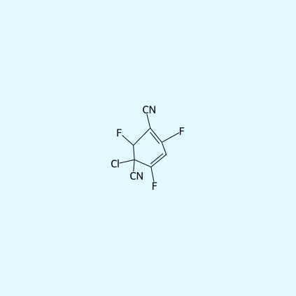 N#CC1=C(F)C=C(F)C(Cl)(C#N)C1F